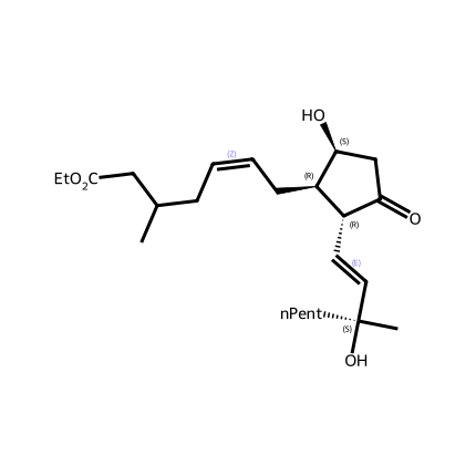 CCCCC[C@](C)(O)/C=C/[C@H]1C(=O)C[C@H](O)[C@@H]1C/C=C\CC(C)CC(=O)OCC